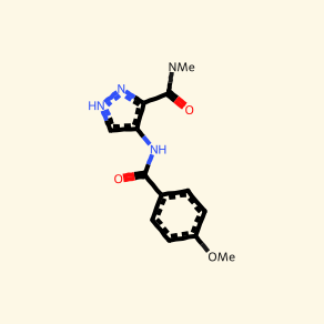 CNC(=O)c1n[nH]cc1NC(=O)c1ccc(OC)cc1